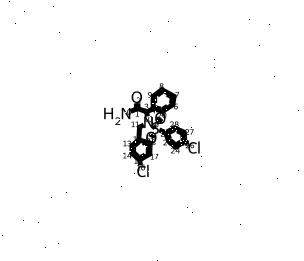 NC(=O)C(c1ccccc1)N(Cc1ccc(Cl)cc1)S(=O)(=O)c1ccc(Cl)cc1